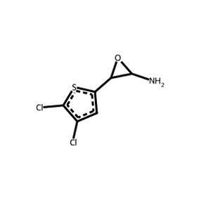 NC1OC1c1cc(Cl)c(Cl)s1